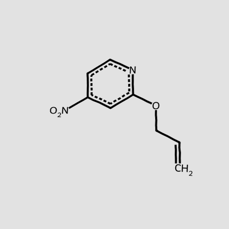 C=CCOc1cc([N+](=O)[O-])ccn1